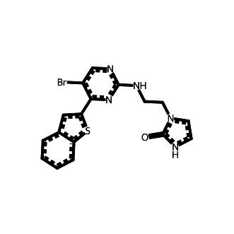 O=c1[nH]ccn1CCNc1ncc(Br)c(-c2cc3ccccc3s2)n1